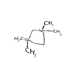 C[Si]1(C)C[Si](C)(C)C1